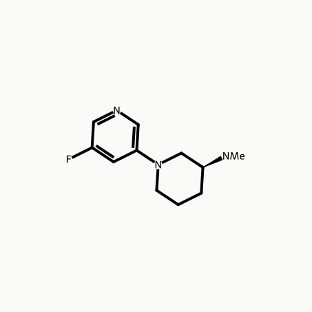 CN[C@H]1CCCN(c2cncc(F)c2)C1